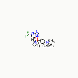 COc1cc(C(=O)N2[C@H]3CC[C@H](c4cc(C(F)F)nc5ncnn45)[C@@H]2CC3)ccc1N(C)C